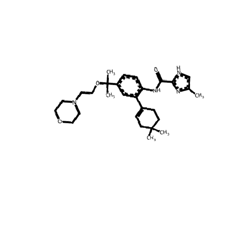 Cc1c[nH]c(C(=O)Nc2ccc(C(C)(C)OCCN3CCOCC3)cc2C2=CCC(C)(C)CC2)n1